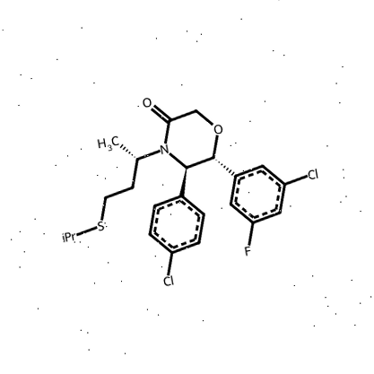 CC(C)SCC[C@H](C)N1C(=O)CO[C@H](c2cc(F)cc(Cl)c2)[C@H]1c1ccc(Cl)cc1